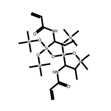 C=CC(=O)NC(CC)[Si](O[Si](C)(C)C)(O[Si](C)(C)C)O[Si](O[Si](C)(C)C)(O[Si](C)(C)C)C(CC)NC(=O)C=C